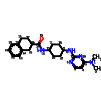 CN(C)c1ccnc(NC2CCC(NC(=O)C3CCc4ccccc4C3)CC2)n1